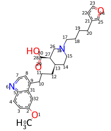 COc1ccc2nccc(CCC[C@@H]3CCN(CCCCc4ccoc4)C[C@@H]3C(=O)O)c2c1